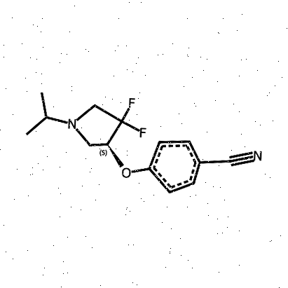 CC(C)N1C[C@H](Oc2ccc(C#N)cc2)C(F)(F)C1